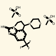 CS(=O)(=O)O.CS(=O)(=O)O.N=c1sc2cc(C(F)(F)F)cc3c2n1CCC3N1CCSCC1